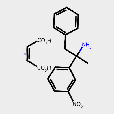 CC(N)(Cc1ccccc1)c1cccc([N+](=O)[O-])c1.O=C(O)/C=C\C(=O)O